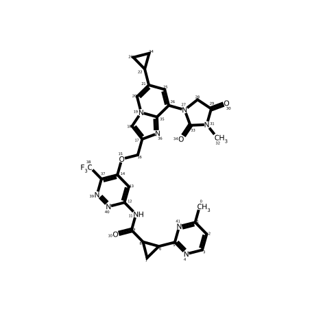 Cc1ccnc(C2CC2C(=O)Nc2cc(OCc3cn4cc(C5CC5)cc(N5CC(=O)N(C)C5=O)c4n3)c(C(F)(F)F)nn2)n1